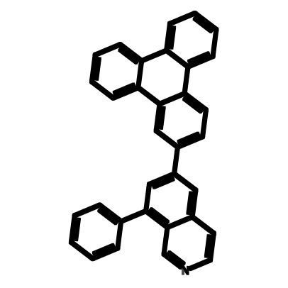 c1ccc(-c2cc(-c3ccc4c5ccccc5c5ccccc5c4c3)cc3ccncc23)cc1